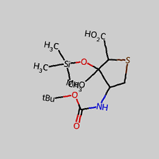 COC1(O[Si](C)(C)C)C(NC(=O)OC(C)(C)C)CSC1C(=O)O